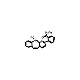 CNC(=O)c1ccccc1-c1ccc2c(n1)CN(C(C)=O)c1ccccc1/C=C\2